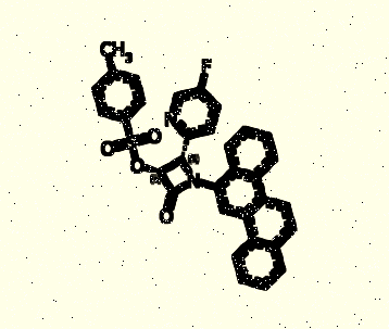 Cc1ccc(S(=O)(=O)O[C@@H]2C(=O)N(c3cc4c5ccccc5ccc4c4ccccc34)[C@H]2c2ccc(F)cn2)cc1